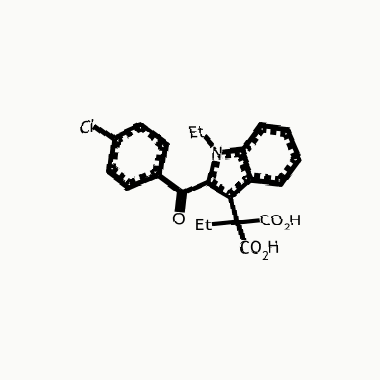 CCn1c(C(=O)c2ccc(Cl)cc2)c(C(CC)(C(=O)O)C(=O)O)c2ccccc21